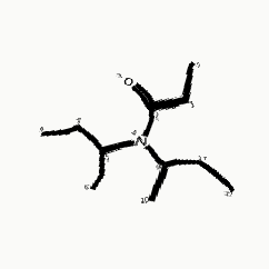 CCC(=O)N(C(C)CC)C(C)CC